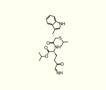 CC(C)OC(=O)[C@H](CCC(=O)C=N)NC(=O)[C@H](Cc1c[nH]c2ccccc12)SC(C)C